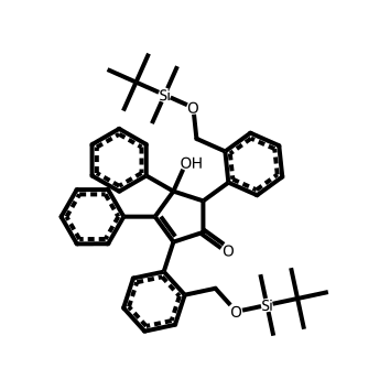 CC(C)(C)[Si](C)(C)OCc1ccccc1C1=C(c2ccccc2)C(O)(c2ccccc2)C(c2ccccc2CO[Si](C)(C)C(C)(C)C)C1=O